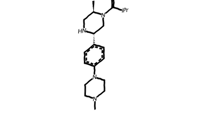 CC(C)C(=O)N1C[C@H](c2ccc(N3CCN(C)CC3)cc2)NC[C@H]1C